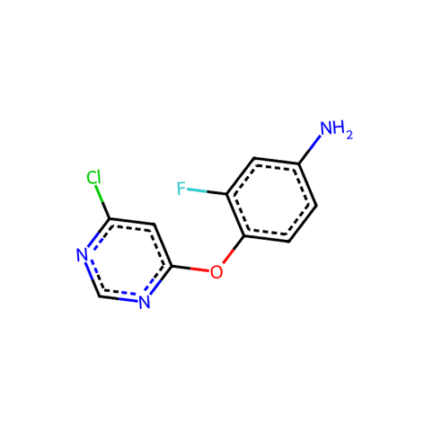 Nc1ccc(Oc2cc(Cl)ncn2)c(F)c1